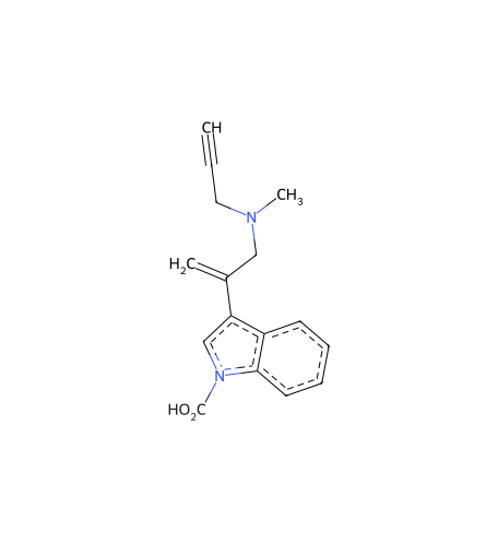 C#CCN(C)CC(=C)c1cn(C(=O)O)c2ccccc12